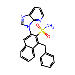 NS(=O)(=O)c1c(-n2cnc3cccnc32)cc2ccccc2c1Cc1ccccc1